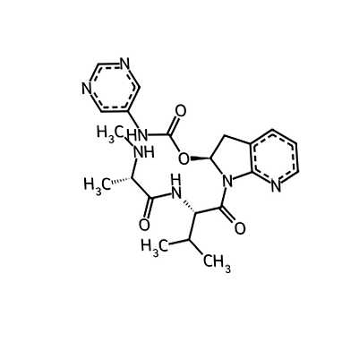 CN[C@@H](C)C(=O)N[C@H](C(=O)N1c2ncccc2C[C@@H]1OC(=O)Nc1cncnc1)C(C)C